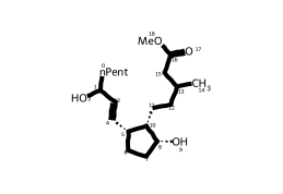 CCCCCC(O)/C=C/[C@H]1CC[C@@H](O)[C@H]1CCC(C)CC(=O)OC